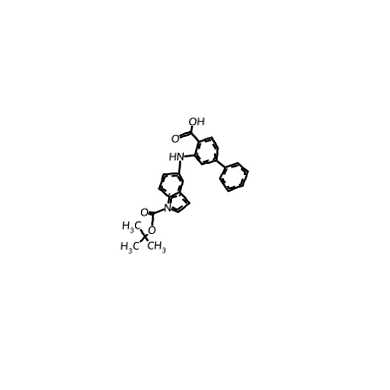 CC(C)(C)OC(=O)n1ccc2cc(Nc3cc(-c4ccccc4)ccc3C(=O)O)ccc21